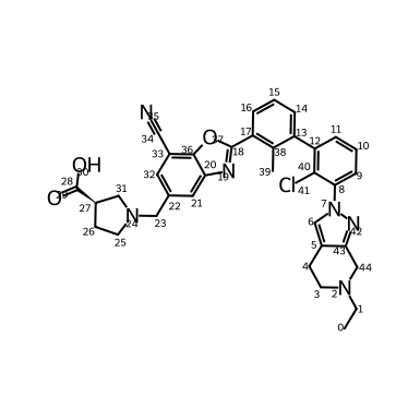 CCN1CCc2cn(-c3cccc(-c4cccc(-c5nc6cc(CN7CC[C@@H](C(=O)O)C7)cc(C#N)c6o5)c4C)c3Cl)nc2C1